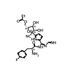 CCC(=O)OC[C@H]1O[C@@](C#N)(c2ccc(/C(=N\C=N)NC(=O)[C@@H](N)Cc3ccc(F)cc3)[nH]2)[C@H](O)[C@@H]1O